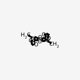 C=CCOc1ccc(S(=O)(=O)c2ccc(OCC=C)c(N3C(=O)C=CC3=O)c2)cc1N1C(=O)C=CC1=O